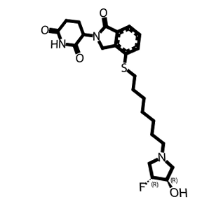 O=C1CCC(N2Cc3c(SCCCCCCCN4C[C@@H](O)[C@H](F)C4)cccc3C2=O)C(=O)N1